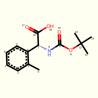 Cc1ccccc1[C@@H](NC(=O)OC(C)(C)C)C(=O)O